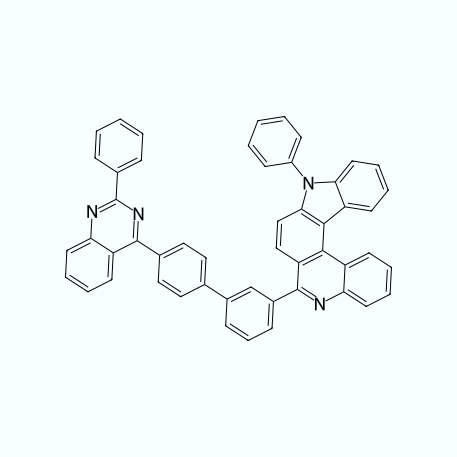 c1ccc(-c2nc(-c3ccc(-c4cccc(-c5nc6ccccc6c6c5ccc5c6c6ccccc6n5-c5ccccc5)c4)cc3)c3ccccc3n2)cc1